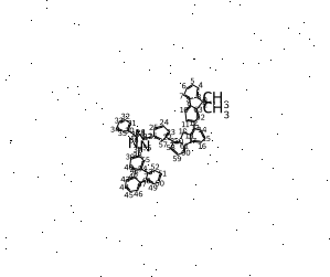 CC1(C)c2ccccc2-c2ccc(-c3cccc4c3Cc3c(-c5cccc(-c6nc(-c7ccccc7)nc(-c7ccc8c9ccccc9c9ccccc9c8c7)n6)c5)cccc3-4)cc21